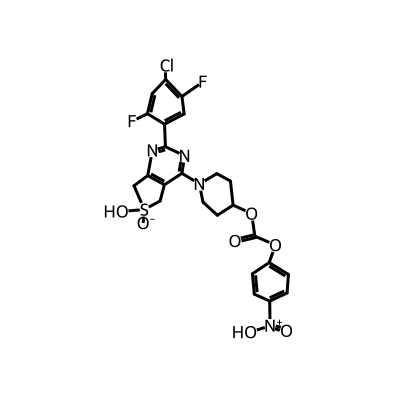 O=C(Oc1ccc([N+](=O)O)cc1)OC1CCN(c2nc(-c3cc(F)c(Cl)cc3F)nc3c2CS([O-])(O)C3)CC1